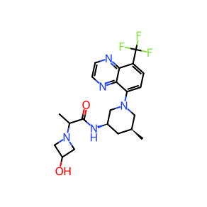 CC(C(=O)N[C@@H]1C[C@H](C)CN(c2ccc(C(F)(F)F)c3nccnc23)C1)N1CC(O)C1